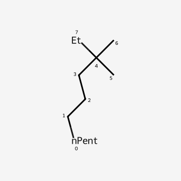 CCCCCCCCC(C)(C)CC